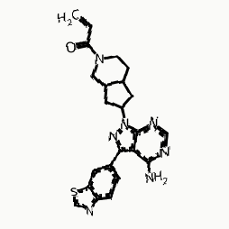 C=CC(=O)N1CCC2CC(n3nc(-c4ccc5ncsc5c4)c4c(N)ncnc43)CC2C1